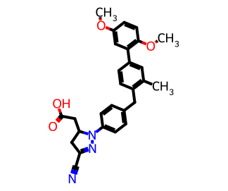 COc1ccc(OC)c(-c2ccc(Cc3ccc(N4N=C(C#N)CC4CC(=O)O)cc3)c(C)c2)c1